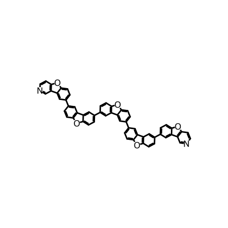 c1cc2oc3ccc(-c4ccc5oc6ccc(-c7ccc8oc9ccc(-c%10ccc%11oc%12ccc(-c%13ccc%14oc%15ccncc%15c%14c%13)cc%12c%11c%10)cc9c8c7)cc6c5c4)cc3c2cn1